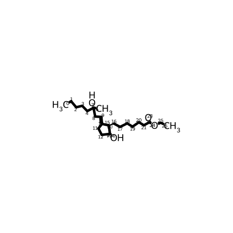 CCCCCC(C)(O)CC=C1CC[C@@H](O)[C@@H]1CCCCCCC(=O)OCC